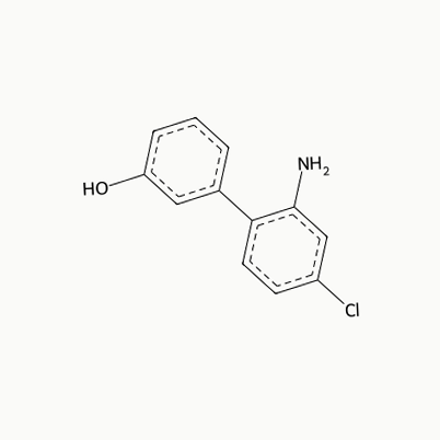 Nc1cc(Cl)ccc1-c1cccc(O)c1